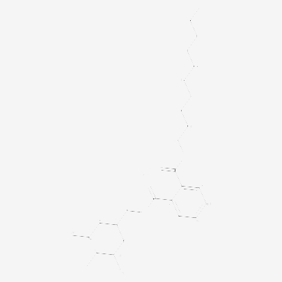 CCCCCCCCCCOC(=O)c1ccccc1C(=O)OCC(CCC)CC(C)CC